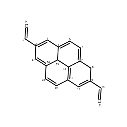 O=CC1=CC2=CC=C3CC(C=O)=CC4=C3C2C(=C1)C=C4